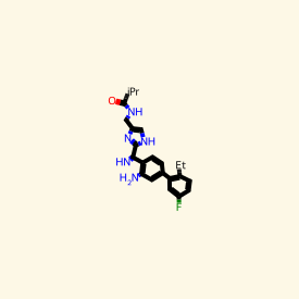 CCc1ccc(F)cc1-c1ccc(C(=N)c2nc(CNC(=O)C(C)C)c[nH]2)c(N)c1